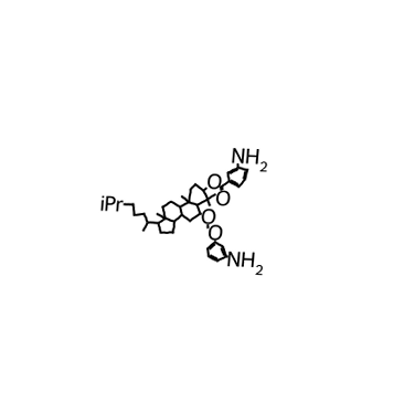 CC(C)CCCC(C)C1CCC2C3CC(OCOc4cccc(N)c4)C4C(C)(C)C(OC(=O)c5cccc(N)c5)CCC4(C)C3CCC12C